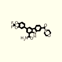 NC(=O)c1cc(-c2ccc3c(c2)OC(F)(F)O3)cc2c1[nH]c1cc(C(=O)N3CCOCC3)ccc12